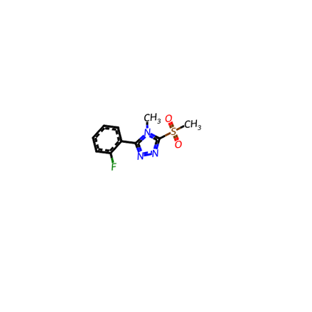 Cn1c(-c2ccccc2F)nnc1S(C)(=O)=O